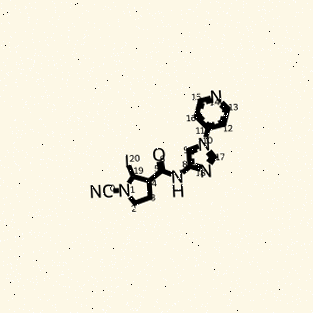 N#CN1CCC(C(=O)Nc2cn(-c3ccncc3)cn2)C1I